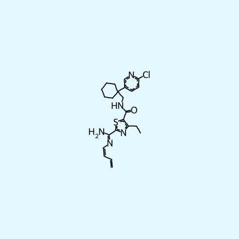 C=C/C=C\N=C(/N)c1nc(CC)c(C(=O)NCC2(c3ccc(Cl)nc3)CCCCC2)s1